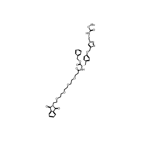 CC(C)(C)OC(=O)NCCn1cc(COc2ccc(C[C@H](NC(=O)CCOCCOCCOCCOCCN3C(=O)c4ccccc4C3=O)C(=O)OCc3ccccc3)cc2)nn1